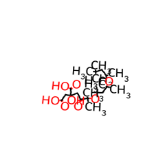 CC(C)(C)CC(C)(C)OC(C)(C)CCOC(C)(C)C(=O)CC(O)(CC(=O)O)C(=O)O